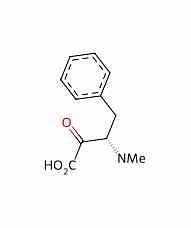 CN[C@@H](Cc1ccccc1)C(=O)C(=O)O